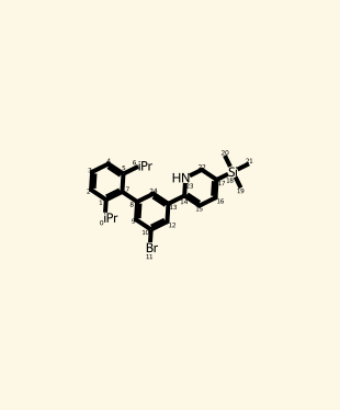 CC(C)c1cccc(C(C)C)c1-c1cc(Br)cc(C2=CC=C([Si](C)(C)C)CN2)c1